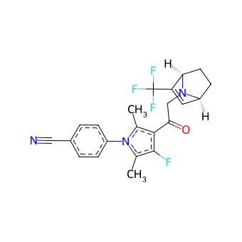 Cc1c(F)c(C(=O)CN2[C@@H]3C=C(C(F)(F)F)[C@H]2CC3)c(C)n1-c1ccc(C#N)cc1